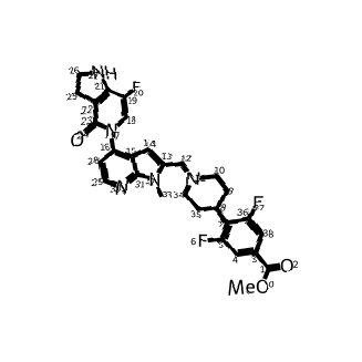 COC(=O)c1cc(F)c(C2CCN(Cc3cc4c(-n5cc(F)c6c(c5=O)CCN6)ccnc4n3C)CC2)c(F)c1